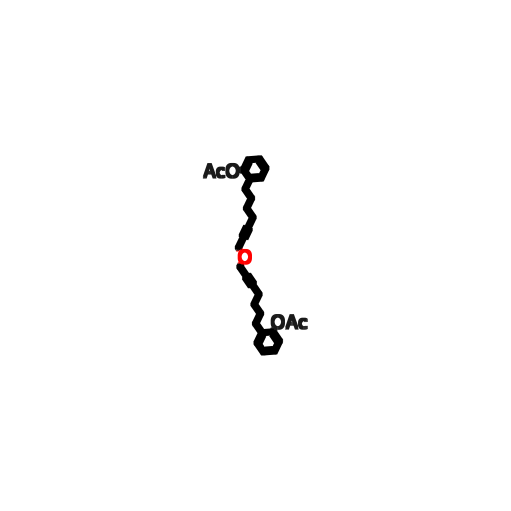 CC(=O)Oc1ccccc1CCCCC#CCOCC#CCCCCc1ccccc1OC(C)=O